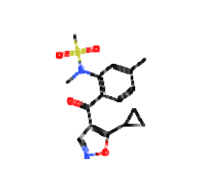 Cc1ccc(C(=O)c2cnoc2C2CC2)c(N(C)S(C)(=O)=O)c1